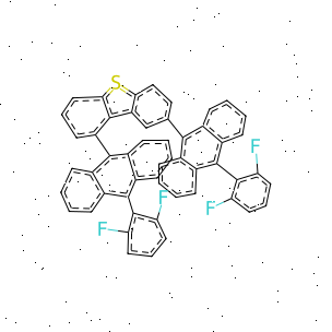 Fc1cccc(F)c1-c1c2ccccc2c(-c2ccc3sc4cccc(-c5c6ccccc6c(-c6c(F)cccc6F)c6ccccc56)c4c3c2)c2ccccc12